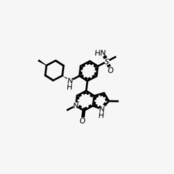 Cc1cc2c(-c3cc(S(C)(=N)=O)ccc3N[C@H]3CC[C@H](C)CC3)cn(C)c(=O)c2[nH]1